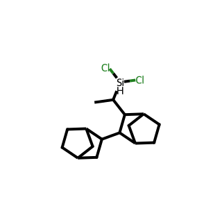 CC(C1C2CCC(C2)C1C1CC2CCC1C2)[SiH](Cl)Cl